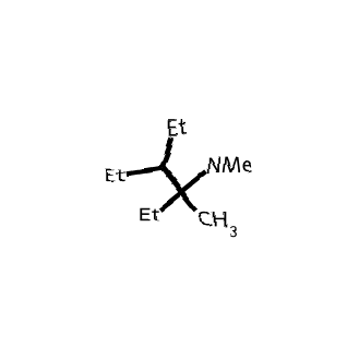 CCC(CC)C(C)(CC)NC